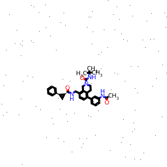 CC(=O)Nc1cccc(-c2ccc(CNC(=O)[C@@H]3C[C@H]3c3ccccc3)c3c2CCN(C(=O)NC(C)(C)C)C3)c1